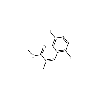 COC(=O)C(C)=Cc1cc(I)ccc1I